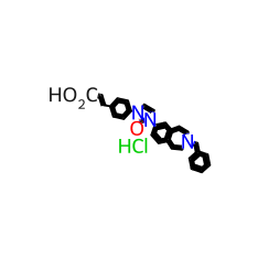 Cl.O=C(O)CC[C@H]1CC[C@H](N2CCN(c3ccc4c(c3)CCN(Cc3ccccc3)CC4)C2=O)CC1